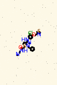 CN(C)CCNC(=O)CS1=C2C(=C(Nc3ccc(OCc4cscn4)c(Cl)c3)N=CN2Cc2ccccc2)C=C1